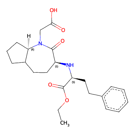 CCOC(=O)[C@H](CCc1ccccc1)N[C@H]1CCC2CCC[C@H]2N(CC(=O)O)C1=O